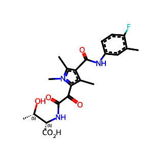 Cc1cc(NC(=O)c2c(C)c(C(=O)C(=O)N[C@H](C(=O)O)[C@H](C)O)n(C)c2C)ccc1F